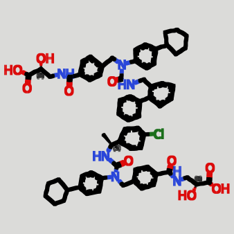 C[C@H](NC(=O)N(Cc1ccc(C(=O)NC[C@@H](O)C(=O)O)cc1)c1ccc(C2CCCCC2)cc1)c1ccc(Cl)cc1.O=C(NC[C@@H](O)C(=O)O)c1ccc(CN(C(=O)NCc2ccccc2-c2ccccc2)c2ccc(C3CCCCC3)cc2)cc1